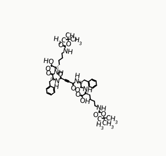 CC(C)(C)OC(=O)NCCCC[C@H](NC(=O)[C@H](Cc1ccccc1)NC(=O)C#CC(=O)N[C@@H](Cc1ccccc1)C(=O)N[C@@H](CCCCNC(=O)OC(C)(C)C)C(=O)O)C(=O)O